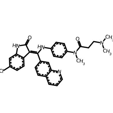 CN(C)CCC(=O)N(C)c1ccc(N/C(=C2\C(=O)Nc3cc(Cl)ccc32)c2ccc3cccnc3c2)cc1